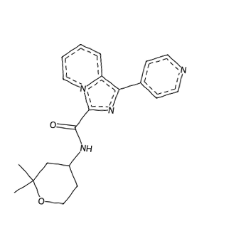 CC1(C)CC(NC(=O)c2nc(-c3ccncc3)c3ccccn23)CCO1